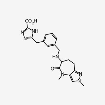 CN1C(=O)C(NCc2cccc(Cc3nnc(C(=O)O)[nH]3)c2)CCc2nn(C)cc21